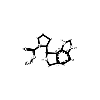 CC(C)(C)OC(=O)N1CCCC1C1OCc2ccc3c(c21)OCO3